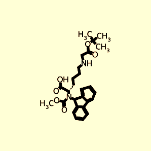 COC(=O)N(C1c2ccccc2-c2ccccc21)[C@@H](CCCCNCC(=O)OC(C)(C)C)C(=O)O